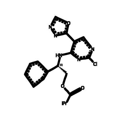 CC(C)C(=O)OC[C@@H](Nc1nc(Cl)ncc1-c1nnco1)c1ccccc1